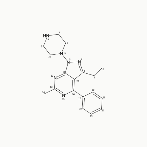 CCc1nn(N2CCNCC2)c2nc(C)nc(-c3ccccc3)c12